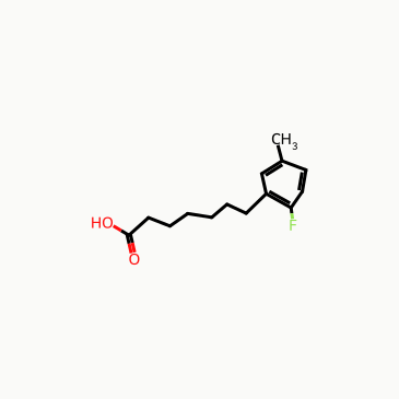 Cc1ccc(F)c(CCCCCCC(=O)O)c1